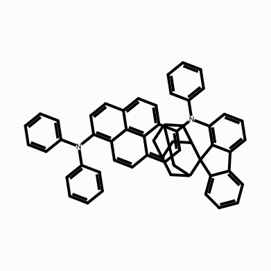 c1ccc(N(c2ccccc2)c2ccc3ccc4c(N(c5ccccc5)c5cccc6c5C5(c7ccccc7-6)C6CC7CC(C6)CC5C7)ccc5ccc2c3c54)cc1